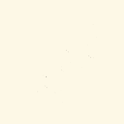 C[C@@H]1CN(c2cnc3ccccc3n2)C[C@H](C)N1C(=O)O